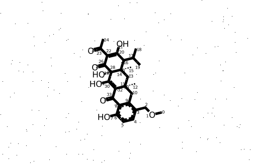 COCc1ccc(O)c2c1C[C@]1(C)C[C@]3(C)C(C(C)C)C(O)=C(C(C)=O)C(=O)[C@]3(O)C(O)=C1C2=O